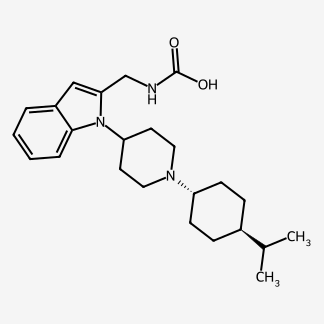 CC(C)[C@H]1CC[C@H](N2CCC(n3c(CNC(=O)O)cc4ccccc43)CC2)CC1